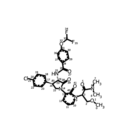 COCC(C(=O)N(C)C)n1cccc(N2C[C@@H](c3ccc(Cl)cc3)[C@H](NC(=O)c3ccc(OC(F)F)cc3)C2=O)c1=O